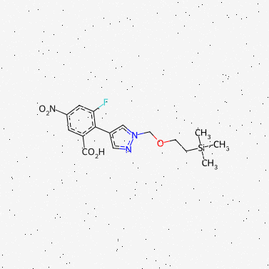 C[Si](C)(C)CCOCn1cc(-c2c(F)cc([N+](=O)[O-])cc2C(=O)O)cn1